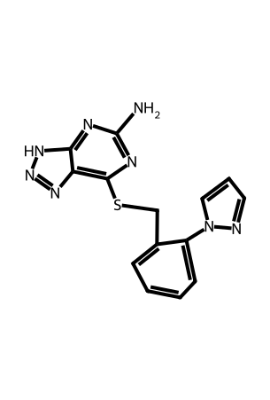 Nc1nc(SCc2ccccc2-n2cccn2)c2nn[nH]c2n1